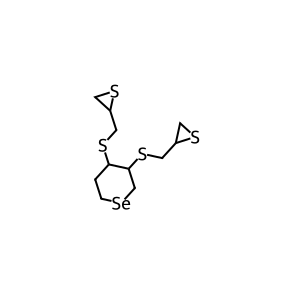 C1CC(SCC2CS2)C(SCC2CS2)C[Se]1